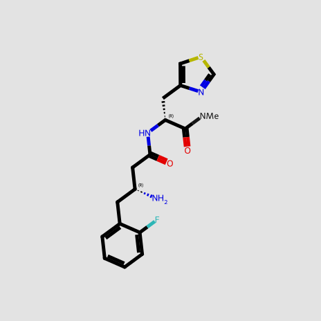 CNC(=O)[C@@H](Cc1cscn1)NC(=O)C[C@H](N)Cc1ccccc1F